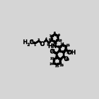 C=CCOCCc1ccccc1Nc1ccc(O)c2c1C(=O)c1ccccc1C2=O